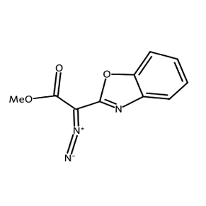 COC(=O)C(=[N+]=[N-])c1nc2ccccc2o1